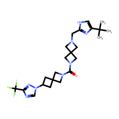 CC(C)(C)c1c[nH]c(CN2CC3(C2)CN(C(=O)N2CC4(CC(n5cnc(C(F)(F)F)n5)C4)C2)C3)n1